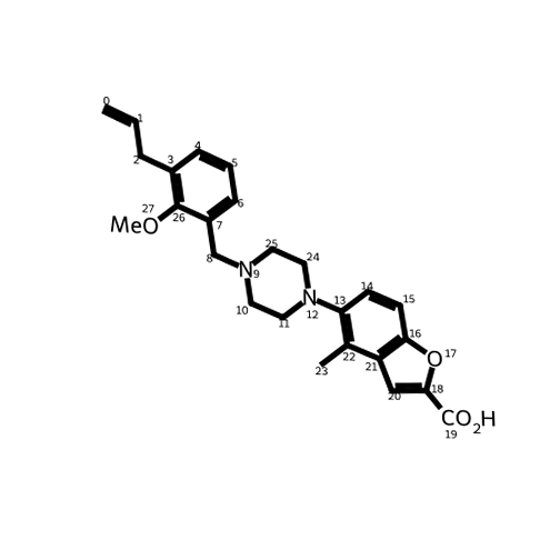 C=CCc1cccc(CN2CCN(c3ccc4oc(C(=O)O)cc4c3C)CC2)c1OC